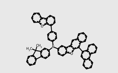 CC1(C)c2ccccc2-c2ccc(N(c3ccc(-c4cccc5c4oc4ccccc45)cc3)c3ccc4oc5c(-c6cc7ccccc7c7ccccc67)c6ccccc6cc5c4c3)cc21